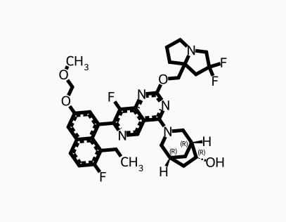 CCc1c(F)ccc2cc(OCOC)cc(-c3ncc4c(N5C[C@@H]6C[C@H](C5)[C@H](O)C6)nc(OCC56CCCN5CC(F)(F)C6)nc4c3F)c12